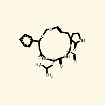 CC(C)C[C@@H]1NC(=O)CC(c2ccccc2)CCC/C=C/CC2(CCNC2=O)C[C@@H](C=O)NC1=O